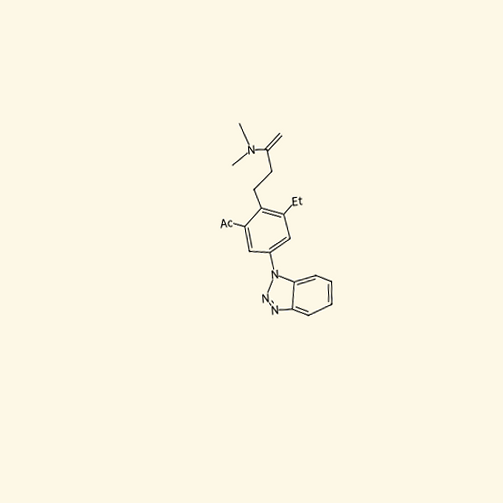 C=C(CCc1c(CC)cc(-n2nnc3ccccc32)cc1C(C)=O)N(C)C